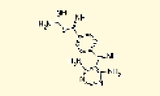 N=C(N)SC(=N)c1ccc(C(=N)c2c(N)ncnc2N)cc1